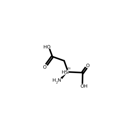 N[Si@@H](CC(=O)O)C(=O)O